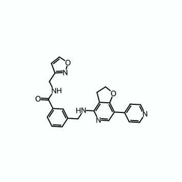 O=C(NCc1ccon1)c1cccc(CNc2ncc(-c3ccncc3)c3c2CCO3)c1